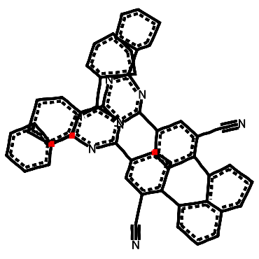 N#Cc1cc(-c2nc(-c3ccccc3)nc(-c3ccccc3)n2)ccc1-c1cccc2cccc(-c3ccc(-c4nc(-c5ccccc5)nc(-c5ccccc5)n4)cc3C#N)c12